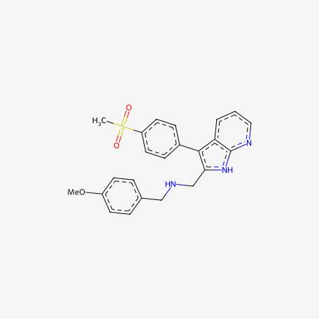 COc1ccc(CNCc2[nH]c3ncccc3c2-c2ccc(S(C)(=O)=O)cc2)cc1